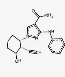 C#C[C@@H]1[C@@H](O)CCC[C@@H]1n1cc(C(N)=O)c(Nc2ccccc2)n1